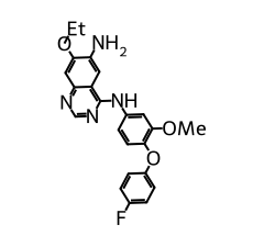 CCOc1cc2ncnc(Nc3ccc(Oc4ccc(F)cc4)c(OC)c3)c2cc1N